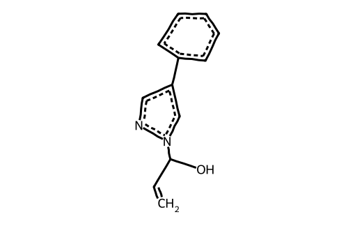 C=CC(O)n1cc(-c2ccccc2)cn1